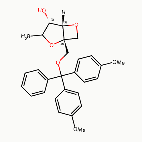 BC1O[C@@]2(COC(c3ccccc3)(c3ccc(OC)cc3)c3ccc(OC)cc3)CO[C@H]2[C@H]1O